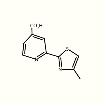 Cc1csc(-c2cc(C(=O)O)ccn2)n1